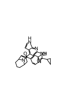 O=C(Nc1cc(C2=CC3CCCC(C2)N3C(=O)c2ccnc(Cl)c2)c2cc[nH]c2n1)C1CC1